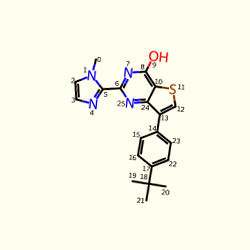 Cn1ccnc1-c1nc(O)c2scc(-c3ccc(C(C)(C)C)cc3)c2n1